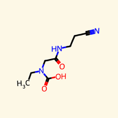 CCN(CC(=O)NCCC#N)C(=O)O